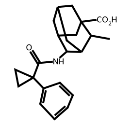 CC1C2CC3CC(CC1(C(=O)O)C3)C2NC(=O)C1(c2ccccc2)CC1